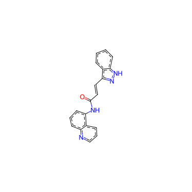 O=C(/C=C/c1n[nH]c2ccccc12)Nc1cccc2ncccc12